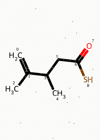 C=C(C)C(C)CC(=O)S